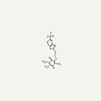 CC1=C(C)C(=O)C(CCCc2nc3cc(C(F)(F)F)ccc3s2)=C(C)C1=O